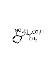 CC(Nc1ccccc1[N+](=O)[O-])C(=O)O